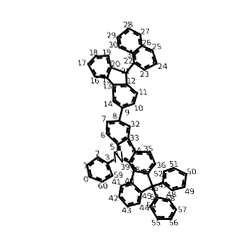 c1ccc(-n2c3ccc(-c4ccc5c(c4)-c4ccccc4C5c4cccc5ccccc45)cc3c3ccc4c(c32)-c2ccccc2C4(c2ccccc2)c2ccccc2)cc1